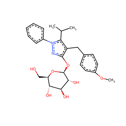 COc1ccc(Cc2c(O[C@@H]3O[C@H](CO)[C@@H](O)[C@H](O)[C@H]3O)nn(-c3ccccc3)c2C(C)C)cc1